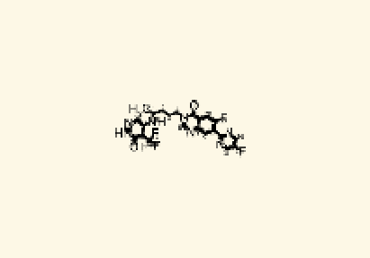 CC(CCCn1cnc2cc(-c3ncc(F)cn3)c(F)cc2c1=O)Nc1cn[nH]c(=O)c1C(F)(F)F